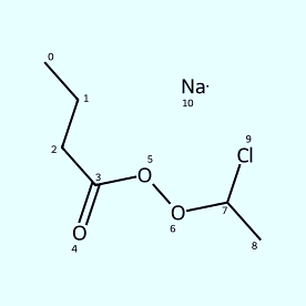 CCCC(=O)OOC(C)Cl.[Na]